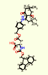 CC(C)CC(Nc1ccc(COC(=O)C[C@H](NC(=O)OCC2c3ccccc3-c3ccccc32)C(=O)O)cc1)=C1C(=O)CC(C)(C)CC1=O